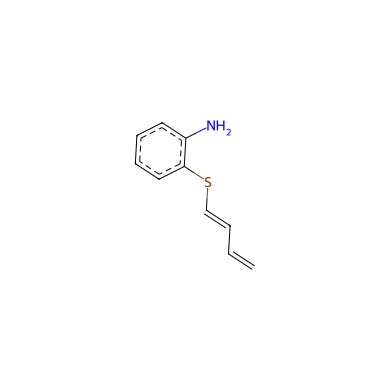 C=CC=CSc1ccccc1N